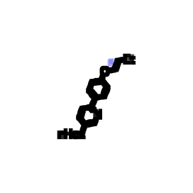 CC/C=C/Oc1ccc(-c2ccc(CCCCCC)cn2)cc1